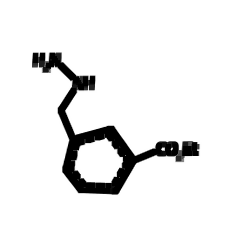 CCOC(=O)c1cccc(CNN)c1